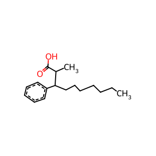 CCCCCCCC(c1ccccc1)C(C)C(=O)O